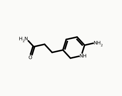 NC(=O)CCC1=CC=C(N)NC1